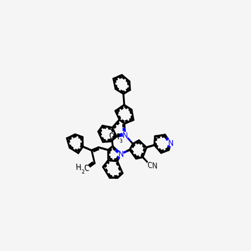 C=C/C(=C\c1c(C)n(-c2cc(C#N)c(-c3ccncc3)cc2-n2c3ccccc3c3cc(-c4ccccc4)ccc32)c2ccccc12)c1ccccc1